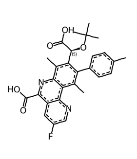 Cc1ccc(-c2c([C@H](OC(C)(C)C)C(=O)O)c(C)c3nc(C(=O)O)c4cc(F)cnc4c3c2C)cc1